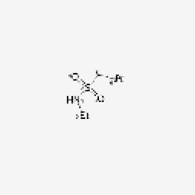 [CH2]CNS(=O)(=O)CC(C)C